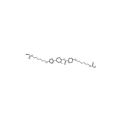 C=CC(=O)OCCCCCCOc1ccc(C(=O)Oc2ccc(-c3ccc(OCCCCCCOC(=O)C=C)cc3)cc2C)cc1